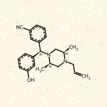 C=CCN1C[C@@H](C)N([C@@H](c2cccc(O)c2)c2cccc(C#N)c2)C[C@H]1C